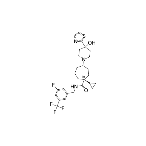 O=C(NCc1cc(F)cc(C(F)(F)F)c1)[C@]1(C2CC2)CCCC(N2CCC(O)(c3nccs3)CC2)CC1